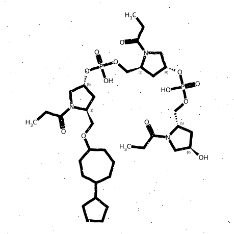 CCC(=O)N1C[C@H](O)C[C@H]1COP(=O)(O)O[C@@H]1C[C@@H](COP(=O)(O)O[C@@H]2C[C@@H](COC3CCCC(C4CCCC4)CC3)N(C(=O)CC)C2)N(C(=O)CC)C1